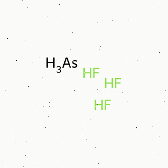 F.F.F.[AsH3]